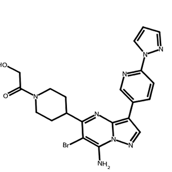 Nc1c(Br)c(C2CCN(C(=O)CO)CC2)nc2c(-c3ccc(-n4cccn4)nc3)cnn12